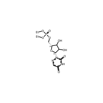 CCOP(=O)(OCC)OC[C@H]1O[C@@H](n2ncc(=O)[nH]c2=O)C(O)C1O